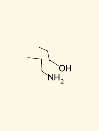 CCCN.CCCO